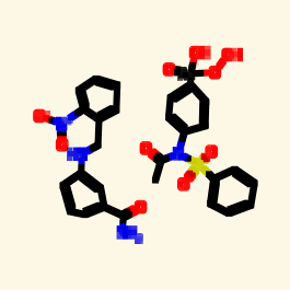 CC(=O)N(c1ccc([As](=O)(O)OO)cc1)S(=O)(=O)c1ccccc1.NC(=O)c1cccc(NCc2ccccc2[N+](=O)[O-])c1